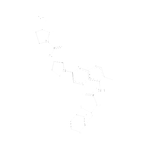 Cc1ccc2nc(N3CC[C@H](NC(=O)N4CC[C@H](N)C4)C3)ccc2c1NC(=O)CC1CC2CCCC(C2)C1